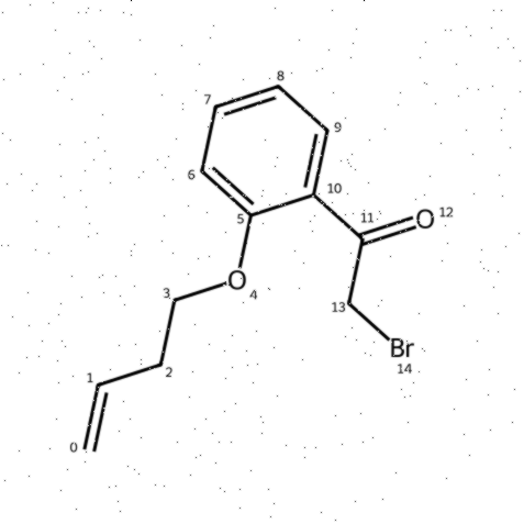 C=CCCOc1ccccc1C(=O)CBr